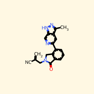 C=C(C#N)CN1Cc2c(cccc2-c2cc3c(C)n[nH]c3cn2)C1=O